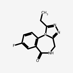 CCc1nnc2n1-c1ccc(F)cc1C(=O)NC2